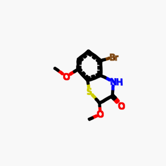 COc1ccc(Br)c2c1SC(OC)C(=O)N2